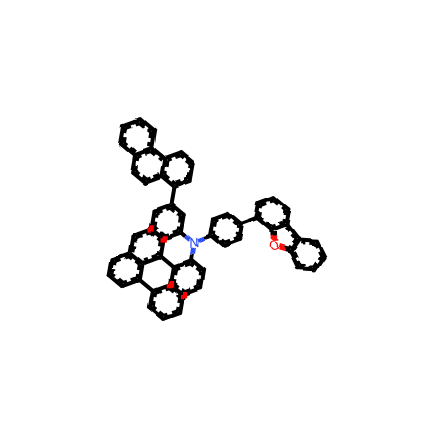 c1ccc(-c2cccc3cccc(-c4ccccc4N(c4ccc(-c5cccc6c5oc5ccccc56)cc4)c4cccc(-c5cccc6c5ccc5ccccc56)c4)c23)cc1